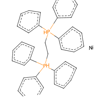 [Ni].c1ccc([PH](CC[PH](c2ccccc2)(c2ccccc2)c2ccccc2)(c2ccccc2)c2ccccc2)cc1